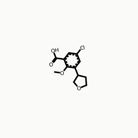 COc1c(C(=O)O)cc(Cl)cc1C1CCOC1